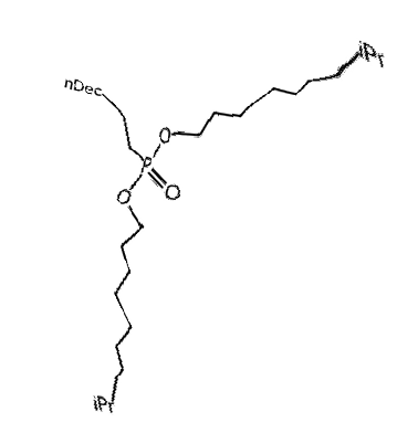 CCCCCCCCCCCCP(=O)(OCCCCCCCC(C)C)OCCCCCCCC(C)C